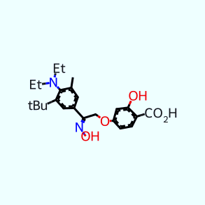 CCN(CC)c1c(C)cc(/C(COc2ccc(C(=O)O)c(O)c2)=N/O)cc1C(C)(C)C